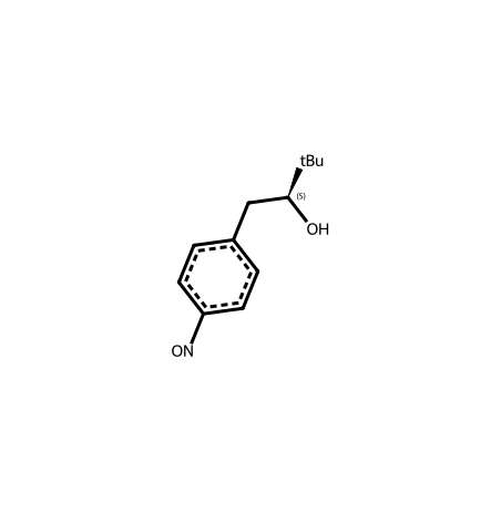 CC(C)(C)[C@@H](O)Cc1ccc(N=O)cc1